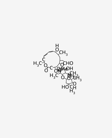 COC1C(O)CC(=O)OC(C)CC=CC=CC(O)C(C)CC(CC=O)C1OC1OC(C)C(OC2CC(C)(O)C(O)C(C)O2)C(N(C)C)C1O